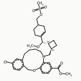 COC(=O)c1ccc2c(c1)N(C[C@@H]1CC[C@H]1C(OC)C1=CCC(COS(C)(=O)=O)CC1)CCCCc1cc(Cl)ccc1CO2